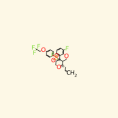 C=CC[C@@H]1OCC[C@@]2(S(=O)(=O)c3ccc(OCC(F)(F)F)cc3)c3c(F)ccc(F)c3OCC12